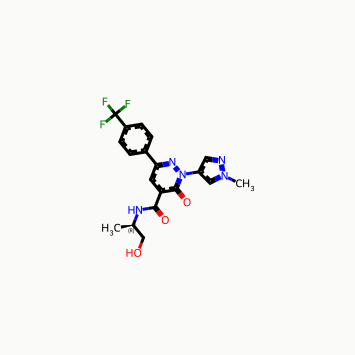 C[C@H](CO)NC(=O)c1cc(-c2ccc(C(F)(F)F)cc2)nn(-c2cnn(C)c2)c1=O